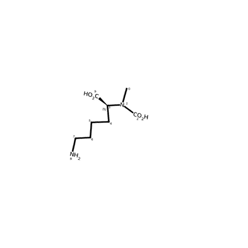 CN(C(=O)O)[C@@H](CCCCN)C(=O)O